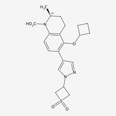 C[C@H]1CCc2c(ccc(-c3cnn(C4CS(=O)(=O)C4)c3)c2OC2CCC2)N1C(=O)O